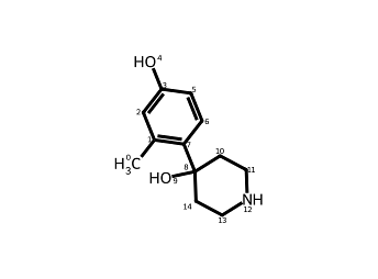 Cc1cc(O)ccc1C1(O)CCNCC1